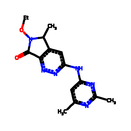 CCON1C(=O)c2nnc(Nc3cc(C)nc(C)n3)cc2C1C